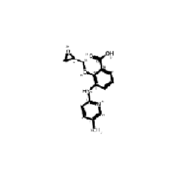 Cc1ccc(Nc2cccc(C(=O)O)c2OC[C@H]2CO2)nc1